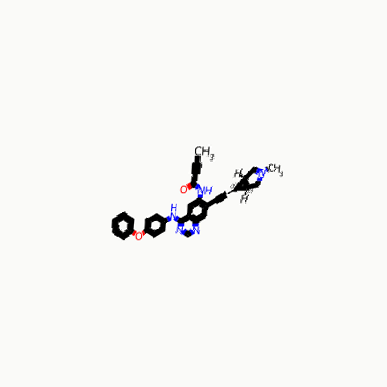 CC#CC(=O)Nc1cc2c(Nc3ccc(Oc4ccccc4)cc3)ncnc2cc1C#C[C@@H]1[C@H]2CN(C)C[C@@H]12